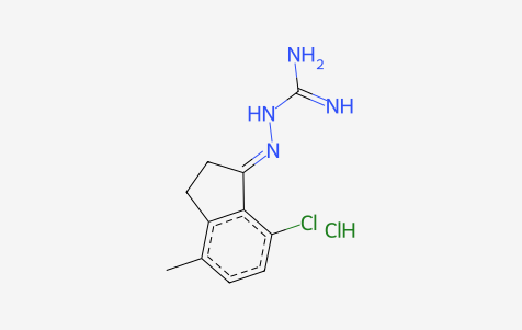 Cc1ccc(Cl)c2c1CCC2=NNC(=N)N.Cl